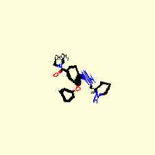 CCN(CC)C(=O)c1ccc(NC[C@@H]2CCCN2)c(Oc2ccccc2)c1